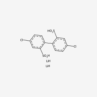 O=S(=O)(O)c1cc(Cl)ccc1-c1ccc(Cl)cc1S(=O)(=O)O.[LiH].[LiH]